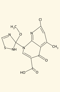 COC1(n2cc(C(=O)O)c(=O)c3c(C)cc(Cl)nc32)N=CSN1